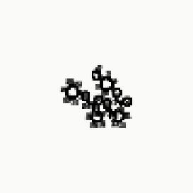 COc1ccc(OCC(=O)[C@@H]2CCCN2C(=O)[C@@H]2CCCN2C(=O)COc2ccccc2)cc1